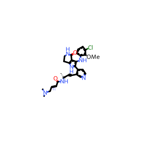 COc1c(Cl)cccc1Nc1c(-c2ccncc2C#C[C@@H](C)NC(=O)/C=C/CN(C)C)[nH]c2c1C(=O)NCC2